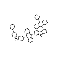 C1=CC(c2ccccc2)Cc2c1oc1ccc(-c3c4ccccc4c(-c4ccc5c(c4)sc4cccc(-c6c7ccccc7c(-c7ccccc7)c7ccccc67)c45)c4ccccc34)cc21